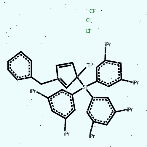 CC(C)c1cc(C(C)C)cc([Si](c2cc(C(C)C)cc(C(C)C)c2)(c2cc(C(C)C)cc(C(C)C)c2)[C]2([Ti+3])C=CC(Cc3ccccc3)=C2)c1.[Cl-].[Cl-].[Cl-]